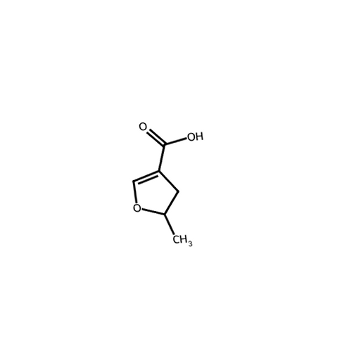 CC1CC(C(=O)O)=CO1